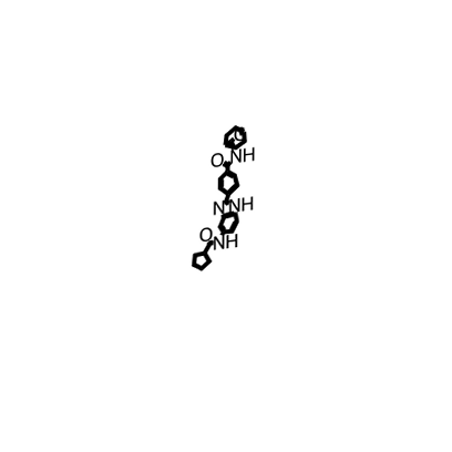 O=C(NC1CC2CCC1CC2)c1ccc(-c2nc3cc(NC(=O)C4CCCC4)ccc3[nH]2)cc1